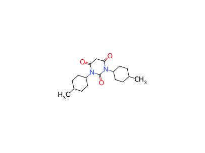 CC1CCC(N2C(=O)CC(=O)N(C3CCC(C)CC3)C2=O)CC1